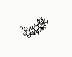 CCOC(=O)c1nc2cc(-c3ncc[nH]3)c(C(F)(F)F)cc2[nH]c1=O